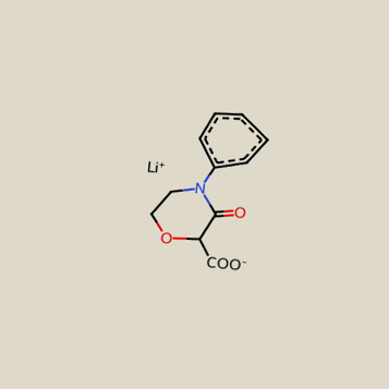 O=C([O-])C1OCCN(c2ccccc2)C1=O.[Li+]